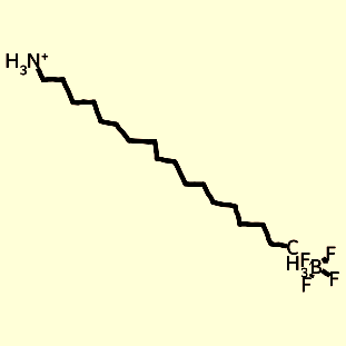 CCCCCCCCCCCCCCCCCC[NH3+].F[B-](F)(F)F